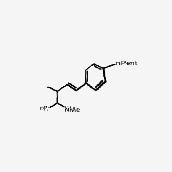 CCCCCc1ccc(/C=C/C(C)C(CCC)NC)cc1